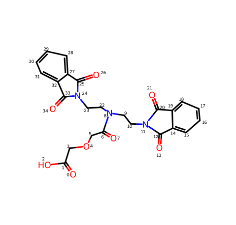 O=C(O)COCC(=O)N(CCN1C(=O)c2ccccc2C1=O)CCN1C(=O)c2ccccc2C1=O